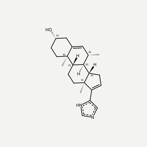 C[C@H]1C=C2C[C@@H](O)CC[C@]2(C)[C@H]2CC[C@]3(C)C(c4cnc[nH]4)=CC[C@H]3[C@H]12